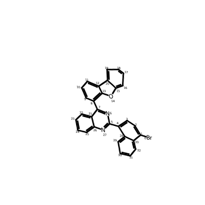 Brc1ccc(-c2nc(-c3cccc4c3oc3ccccc34)c3ccccc3n2)c2ccccc12